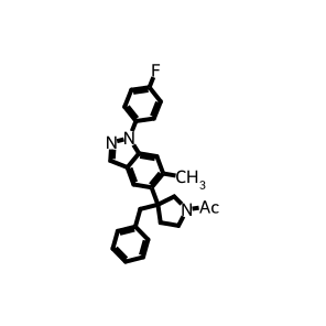 CC(=O)N1CCC(Cc2ccccc2)(c2cc3cnn(-c4ccc(F)cc4)c3cc2C)C1